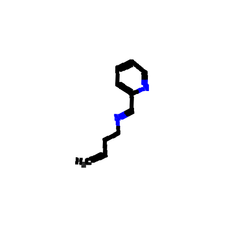 C=CCC/N=C/c1ccccn1